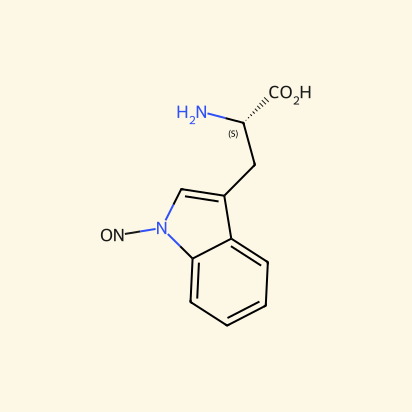 N[C@@H](Cc1cn(N=O)c2ccccc12)C(=O)O